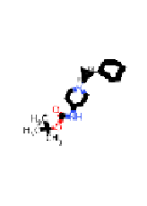 CC(C)(C)OC(=O)NC1CCN([C@@H]2C[C@H]2c2ccccc2)CC1